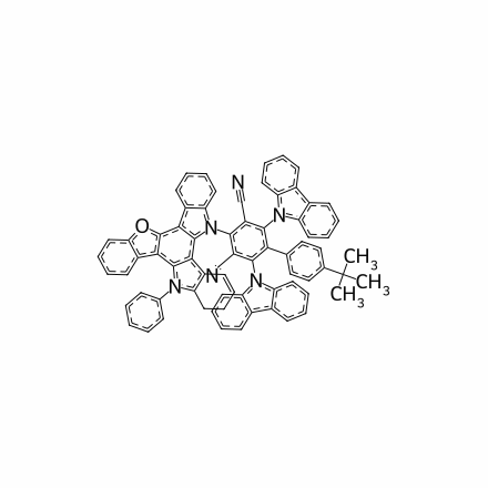 CC(C)(C)c1ccc(-c2c(-n3c4ccccc4c4ccccc43)c(C#N)c(-n3c4ccccc4c4c5oc6ccccc6c5c5c(c6c(n5-c5ccccc5)CCC=C6)c43)c(C#N)c2-n2c3ccccc3c3ccccc32)cc1